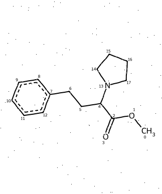 COC(=O)C(CCc1ccccc1)N1CCCC1